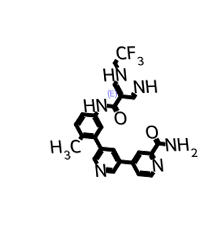 Cc1ccc(NC(=O)/C(C=N)=C/NCC(F)(F)F)cc1-c1cncc(-c2ccnc(C(N)=O)c2)c1